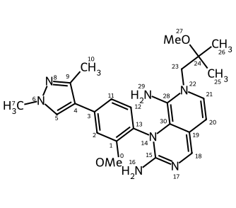 COc1cc(-c2cn(C)nc2C)ccc1N1C(N)=NC=C2C=CN(CC(C)(C)OC)C(N)=C21